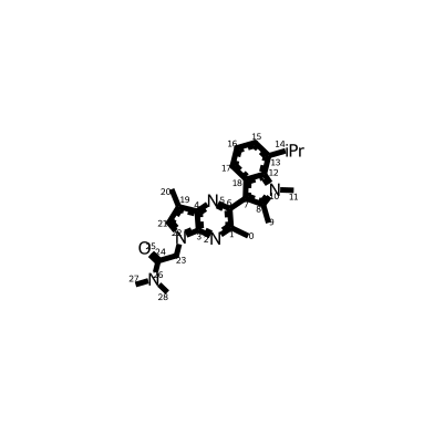 Cc1nc2c(nc1-c1c(C)n(C)c3c(C(C)C)cccc13)c(C)cn2CC(=O)N(C)C